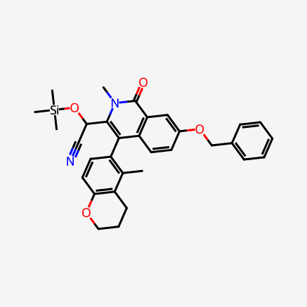 Cc1c(-c2c(C(C#N)O[Si](C)(C)C)n(C)c(=O)c3cc(OCc4ccccc4)ccc23)ccc2c1CCCO2